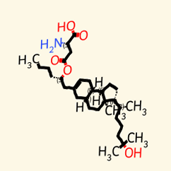 CCCC[C@@H](CC1=CC[C@@H]2[C@H](CC[C@]3(C)[C@@H]([C@H](C)CCCC(C)(C)O)CC[C@@H]23)C1)OC(=O)C[C@H](N)C(=O)O